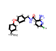 CCCCCc1ccc(Oc2ccc(CNC(=O)c3ccc(F)nc3N)cc2)cc1